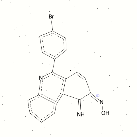 N=C1/C(=N\O)C=Cc2c(-c3ccc(Br)cc3)nc3ccccc3c21